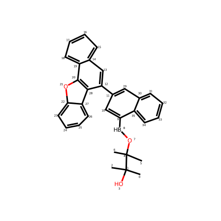 CC(C)(O)C(C)(C)OBc1cc(-c2cc3ccccc3c3oc4ccccc4c23)cc2ccccc12